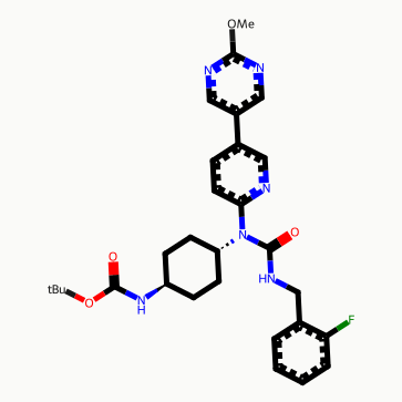 COc1ncc(-c2ccc(N(C(=O)NCc3ccccc3F)[C@H]3CC[C@H](NC(=O)OC(C)(C)C)CC3)nc2)cn1